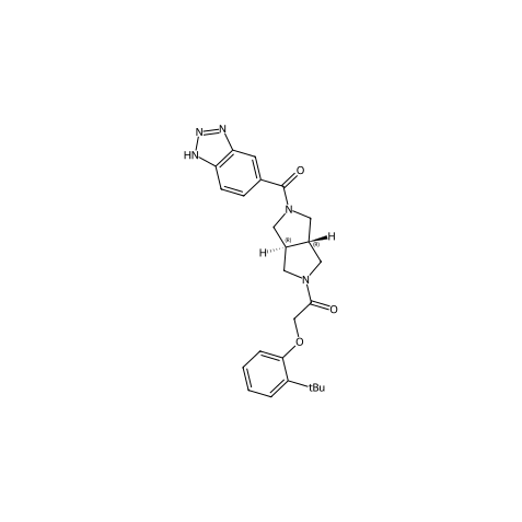 CC(C)(C)c1ccccc1OCC(=O)N1C[C@H]2CN(C(=O)c3ccc4[nH]nnc4c3)C[C@@H]2C1